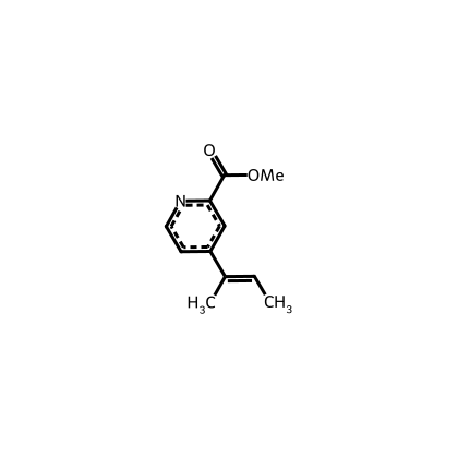 CC=C(C)c1ccnc(C(=O)OC)c1